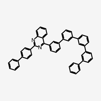 c1ccc(-c2ccc(-c3nc(-c4cccc(-c5cccc(-c6cccc(-c7cccc(-c8ccccc8)c7)c6)c5)c4)c4ccccc4n3)cc2)cc1